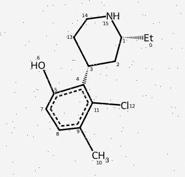 CC[C@@H]1C[C@H](c2c(O)ccc(C)c2Cl)CCN1